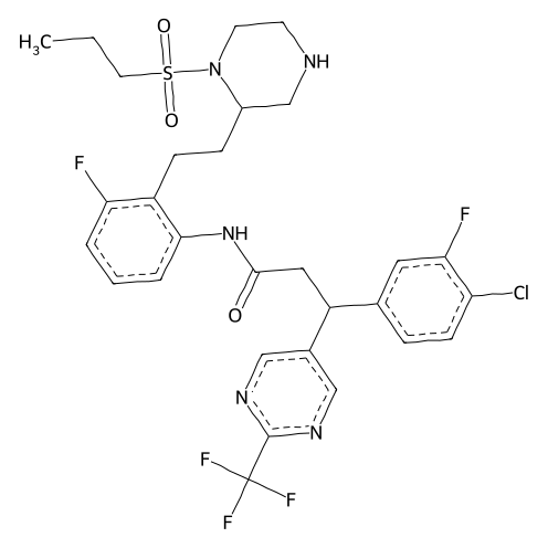 CCCS(=O)(=O)N1CCNCC1CCc1c(F)cccc1NC(=O)CC(c1cnc(C(F)(F)F)nc1)c1ccc(Cl)c(F)c1